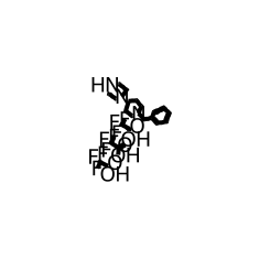 O=C(O)C(F)(F)F.O=C(O)C(F)(F)F.O=C(O)C(F)(F)F.c1ccc(CN2CCC(N3CCNCC3)CC2)cc1